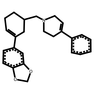 C1=C(c2ccccc2)CCN(CC2CCC=C(c3ccc4c(c3)OCO4)C2)C1